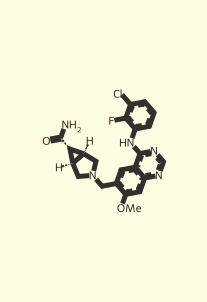 COc1cc2ncnc(Nc3cccc(Cl)c3F)c2cc1CN1C[C@@H]2[C@H](C1)[C@H]2C(N)=O